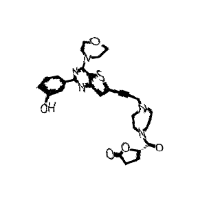 O=C1CC[C@@H](C(=O)N2CCN(CC#Cc3cc4nc(-c5cccc(O)c5)nc(N5CCOCC5)c4s3)CC2)O1